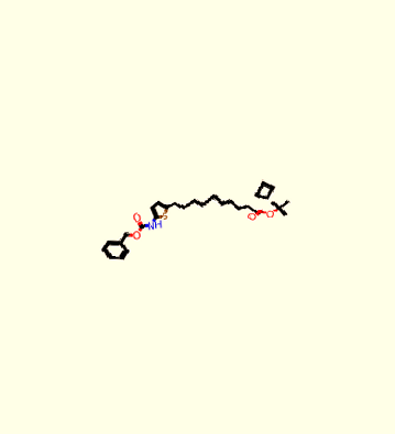 C1CCC1.CC(C)(C)OC=O.CCCCCCCCCCc1ccc(NC(=O)OCc2ccccc2)s1